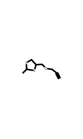 C#CCOCC1CS[C](C)S1